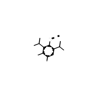 CC(C)c1cc(F)c(I)c(C(C)C)c1N=C=O